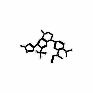 C=CN(C)c1cc(N2CCN(C)c3cc(-c4cnn(C)c4)c(C(F)(F)F)cc32)ccc1N(C)C